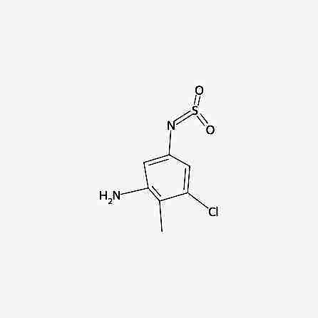 Cc1c(N)cc(N=S(=O)=O)cc1Cl